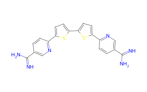 N=C(N)c1ccc(-c2ccc(-c3ccc(-c4ccc(C(=N)N)cn4)s3)s2)nc1